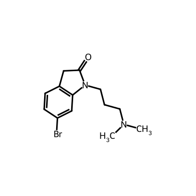 CN(C)CCCN1C(=O)Cc2ccc(Br)cc21